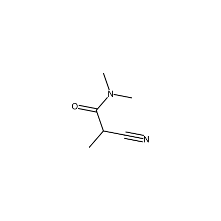 CC(C#N)C(=O)N(C)C